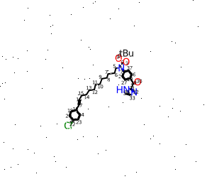 CC(C)(C)OC(=O)N(CCCCCCCCCCCC#Cc1ccc(Cl)cc1)c1ccc(C(=O)c2ncc[nH]2)cc1